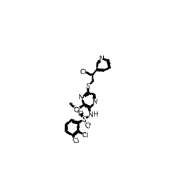 COc1nc(SCC(Cl)c2cccnc2)cnc1NS(=O)(=O)c1cccc(Cl)c1Cl